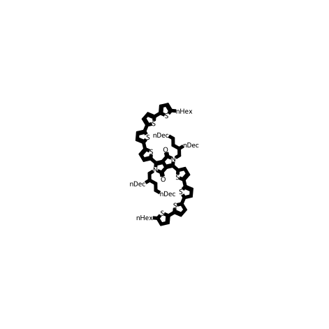 CCCCCCCCCCCCC(CCCCCCCCCC)CN1C(=O)C2=C(C3CC=C(C4=CCC(C5CC=C(C6=CCC(CCCCCC)S6)S5)S4)S3)N(CC(CCCCCCCCCC)CCCCCCCCCCCC)C(=O)C2=C1c1ccc(-c2ccc(-c3ccc(-c4ccc(CCCCCC)s4)s3)s2)s1